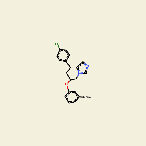 CNc1cccc(OC(CCc2ccc(Cl)cc2)Cn2ccnc2)c1